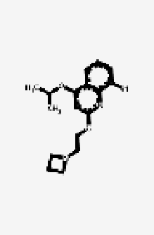 CC(C)Oc1cc(OCCN2CCC2)nc2c(Cl)cccc12